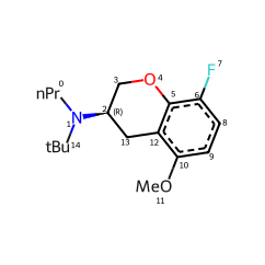 CCCN([C@H]1COc2c(F)ccc(OC)c2C1)C(C)(C)C